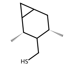 C[C@@H]1C2CC2C[C@H](C)C1CS